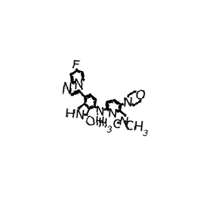 CN(C)Cc1nc(Nc2ccc(-c3cnc4cc(F)ccn34)c3c2C(=O)NC3)ccc1N1CCOCC1